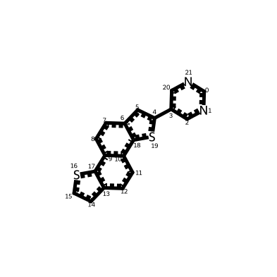 c1ncc(-c2cc3ccc4c(ccc5ccsc54)c3s2)cn1